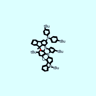 CC(C)(C)c1ccc(N(c2ccc(C(C)(C)C)cc2)c2cc3c(c(N4c5ccc(C(C)(C)C)cc5B5c6ccc7c(c6Oc6cc(C(C)(C)C)cc4c65)c4ccccc4n7C(C)(C)C)c2)C(C)(C)c2ccccc2-3)cc1